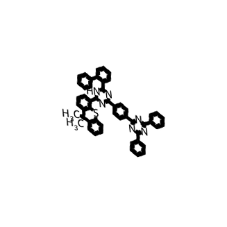 CC1(C)c2ccccc2Sc2c(C3N=C(c4ccc(-c5nc(-c6ccccc6)nc(-c6ccccc6)n5)cc4)N=C(c4ccccc4-c4ccccc4)N3)cccc21